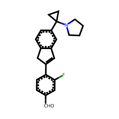 O=Cc1ccc(C2=Cc3cc(C4(N5CCCC5)CC4)ccc3C2)c(F)c1